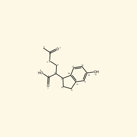 CC(=O)SCC(C(=O)O)C1CCc2cc(O)ccc21